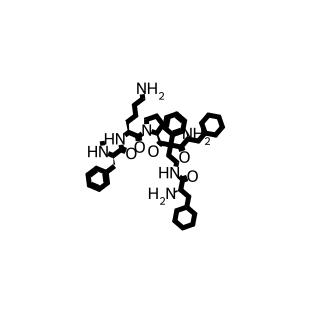 CN[C@@H](Cc1ccccc1)C(=O)N[C@@H](CCCCN)C(=O)N1CCC[C@H]1C(=O)C(CCNC(=O)[C@@H](N)CC1CCCCC1)(C(=O)[C@H](N)CC1CCCCC1)c1ccccc1